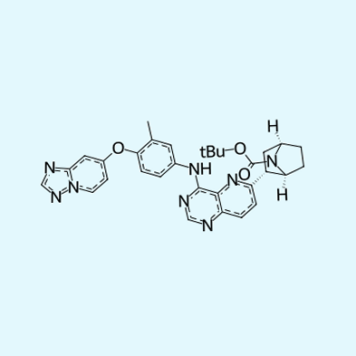 Cc1cc(Nc2ncnc3ccc([C@@H]4C[C@H]5CC[C@@H]4N5C(=O)OC(C)(C)C)nc23)ccc1Oc1ccn2ncnc2c1